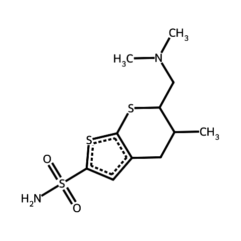 CC1Cc2cc(S(N)(=O)=O)sc2SC1CN(C)C